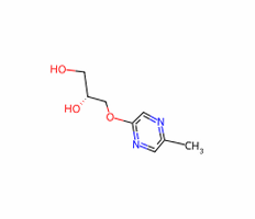 Cc1cnc(OC[C@H](O)CO)cn1